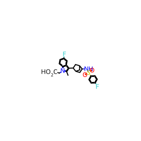 Cc1c(C2CC3CC2CC3NS(=O)(=O)c2ccc(F)cc2)c2cc(F)ccc2n1CC(=O)O